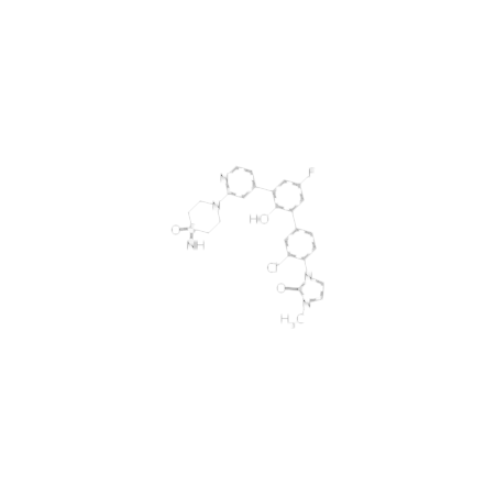 Cn1ccn(-c2ccc(-c3cc(F)cc(-c4ccnc(N5CCS(=N)(=O)CC5)c4)c3O)cc2Cl)c1=O